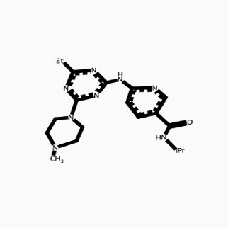 CCc1nc(Nc2ccc(C(=O)NC(C)C)cn2)nc(N2CCN(C)CC2)n1